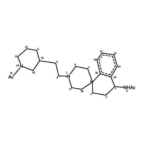 CC(=O)NC1CCC2(CCN(CCC3CCCN(C(C)=O)C3)CC2)c2ccccc21